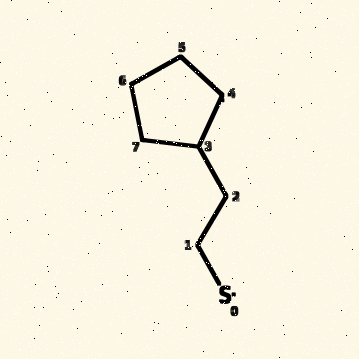 [S]CCC1[CH]CCC1